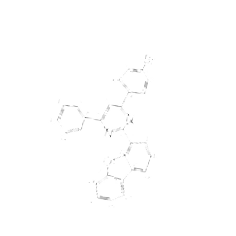 Brc1ccc(-c2cc(-c3ccccc3)nc(-c3cccc4c3oc3ccccc34)n2)cc1